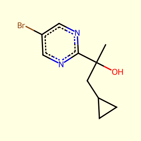 CC(O)(CC1CC1)c1ncc(Br)cn1